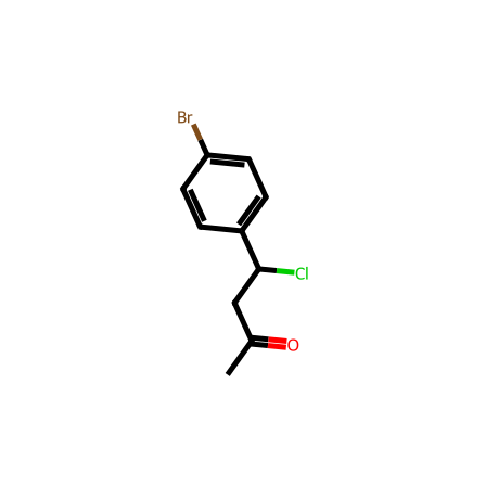 CC(=O)CC(Cl)c1ccc(Br)cc1